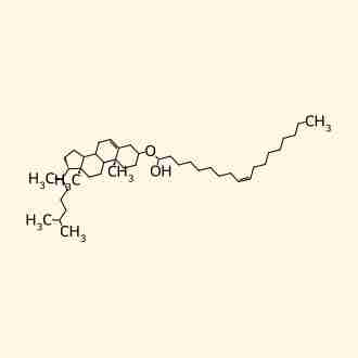 CCCCCCCC/C=C\CCCCCCCC(O)OC1CC[C@@]2(C)C(=CCC3C2CC[C@@]2(C)C3CC[C@@H]2[C@H](C)CCCC(C)C)C1